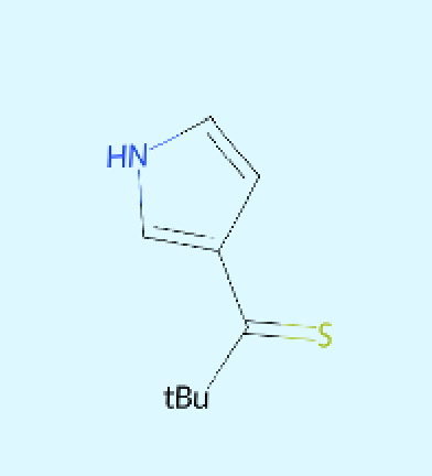 CC(C)(C)C(=S)c1cc[nH]c1